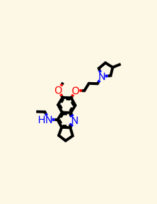 CCNc1c2c(nc3cc(OCCCN4CCC(C)C4)c(OC)cc13)CCC2